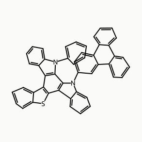 c1ccc(-n2c3ccccc3c3c4c5ccccc5sc4c4c5ccccc5n(-c5ccc6c7ccccc7c7ccccc7c6c5)c4c32)cc1